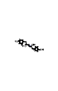 Oc1ccc(C[C@H](O)/C=C/[C@@H](O)Cc2ccc(O)cc2)cc1